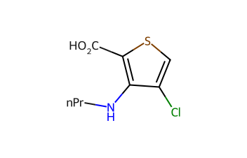 CCCNc1c(Cl)csc1C(=O)O